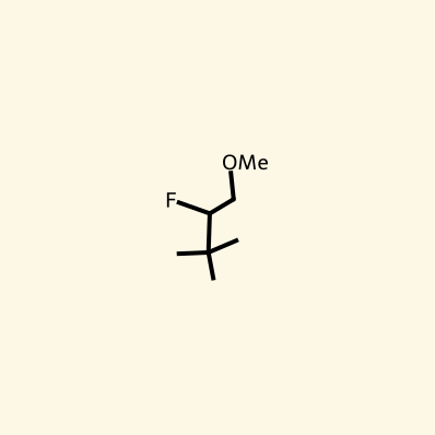 COCC(F)C(C)(C)C